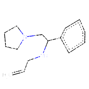 C=CCNC(CN1CCCC1)c1ccccc1